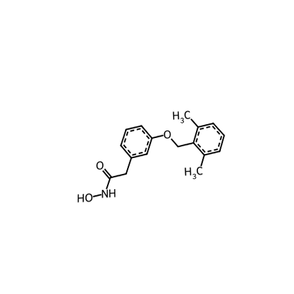 Cc1cccc(C)c1COc1cccc(CC(=O)NO)c1